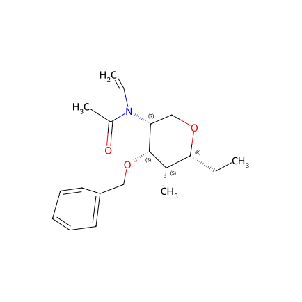 C=CN(C(C)=O)[C@@H]1CO[C@H](CC)[C@H](C)[C@@H]1OCc1ccccc1